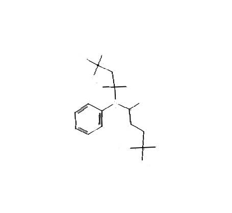 CCC(C)(C)CCC(C)N(c1ccccc1)C(C)(CC)CC(C)(CC)CC